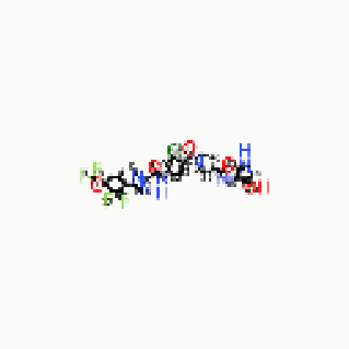 Cn1c(-c2ccc(OC(F)F)c(F)c2F)cnc1C(=O)Nc1ccc(C(=O)N2CCC(C(=O)/N=C\C3CNC[C@H]3O)CC2)c(Cl)c1